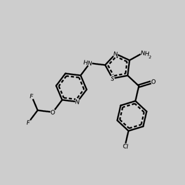 Nc1nc(Nc2ccc(OC(F)F)nc2)sc1C(=O)c1ccc(Cl)cc1